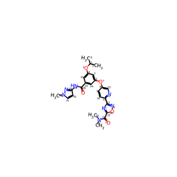 CC(C)Oc1cc(Oc2ccc(-c3noc(C(=O)N(C)C)n3)nc2)cc(C(=O)Nc2ccn(C)n2)c1